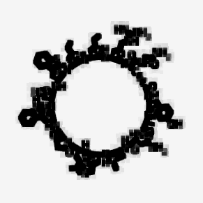 CCCC[C@H]1C(=O)N(C)[C@@H](CCCC)C(=O)N[C@@H](CCCNC(=N)N)C(=O)NC(C(=O)NCC(N)=O)CSCC(=O)N[C@@H](Cc2ccc(O)cc2)C(=O)N(C)[C@@H](C)C(=O)N[C@@H](CC(N)=O)C(=O)N[C@]2(C[C@@H]2CC)C(=O)N[C@@H](Cc2cnc[nH]2)C(=O)N[C@@H](CCC(C)C)C(=O)N2CCC[C@H]2C(=O)N[C@@H](Cc2c[nH]c3ccccc23)C(=O)N[C@@H](CO)C(=O)N[C@@H](Cc2csc3ccccc23)C(=O)N1C